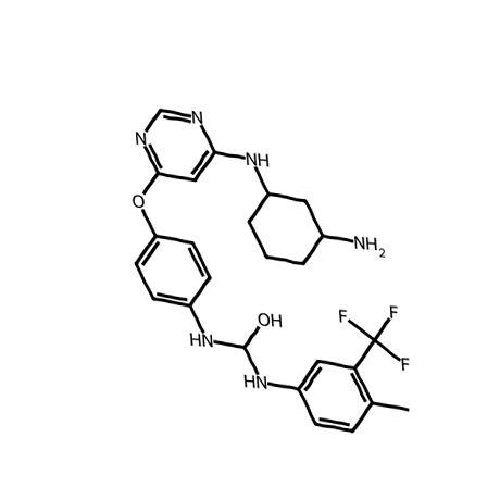 Cc1ccc(NC(O)Nc2ccc(Oc3cc(NC4CCCC(N)C4)ncn3)cc2)cc1C(F)(F)F